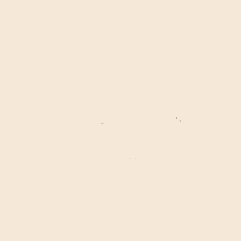 c1ccc2c(c1)[nH]c1c3oc(c4ccccc43)c21